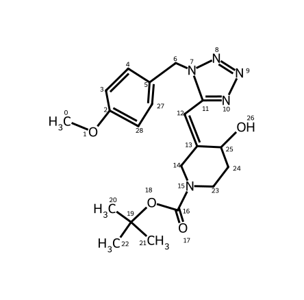 COc1ccc(Cn2nnnc2C=C2CN(C(=O)OC(C)(C)C)CCC2O)cc1